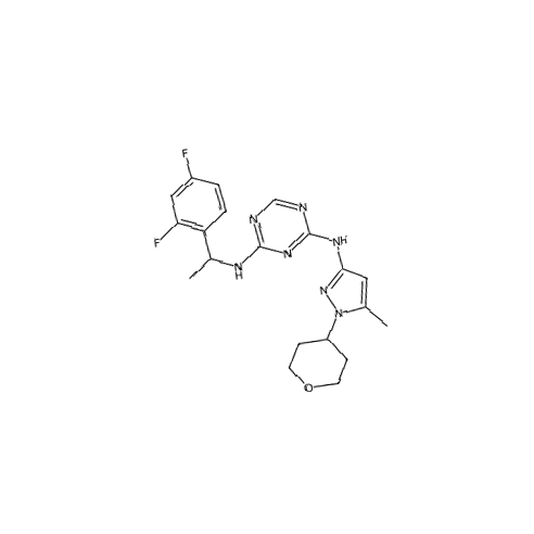 Cc1cc(Nc2ncnc(NC(C)c3ccc(F)cc3F)n2)nn1C1CCOCC1